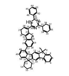 CC1(C)c2ccccc2-c2cc3c(cc21)-c1c(-c2ccc4sc5c(c4c2)CCC=C5C2=NC(C4C=CC=CC4)=NC(c4ccccc4)N2)cccc1C31CCCCC1